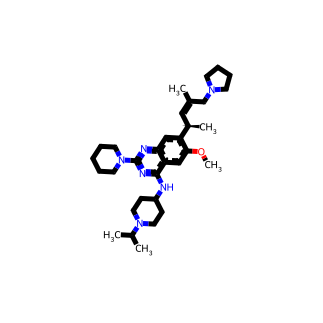 COc1cc2c(NC3CCN(C(C)C)CC3)nc(N3CCCCC3)nc2cc1[C@H](C)/C=C(/C)CN1CCCC1